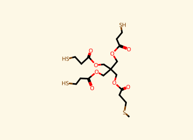 CSCCC(=O)OCC(COC(=O)CCS)(COC(=O)CCS)COC(=O)CCS